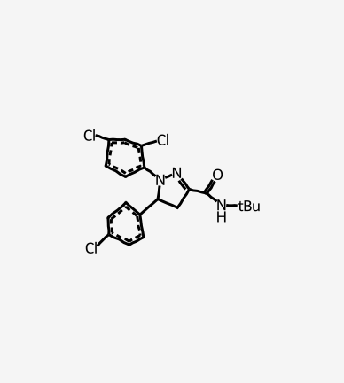 CC(C)(C)NC(=O)C1=NN(c2ccc(Cl)cc2Cl)C(c2ccc(Cl)cc2)C1